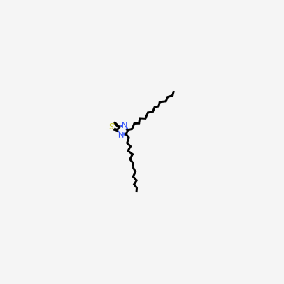 CCCCCCCCCCCCCCc1nc2cscc2nc1CCCCCCCCCCCCCC